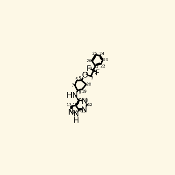 FC(F)(COC1CCC(Nc2ncnc3[nH]ncc23)CC1)c1ccccc1